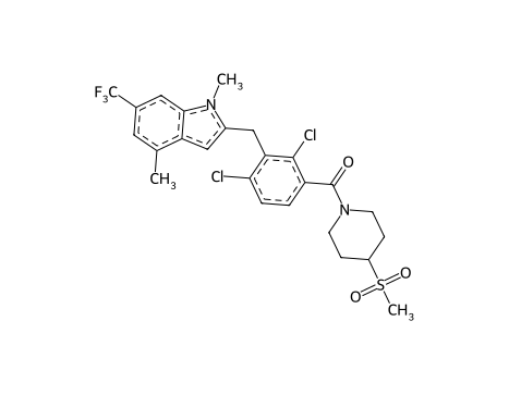 Cc1cc(C(F)(F)F)cc2c1cc(Cc1c(Cl)ccc(C(=O)N3CCC(S(C)(=O)=O)CC3)c1Cl)n2C